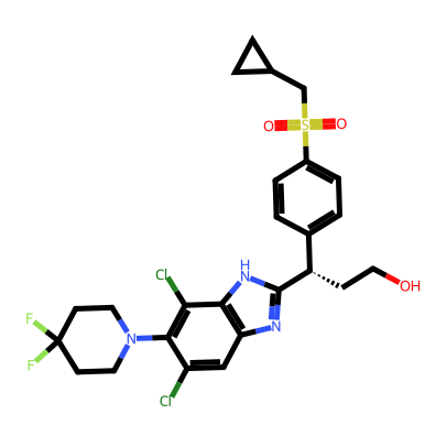 O=S(=O)(CC1CC1)c1ccc([C@H](CCO)c2nc3cc(Cl)c(N4CCC(F)(F)CC4)c(Cl)c3[nH]2)cc1